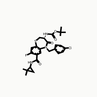 CC(C)(C)OC(=O)N[C@H]1CSc2cc(F)c(C(=O)NC3CC3(C)C)cc2N(Cc2ccc(Cl)cc2)C1=O